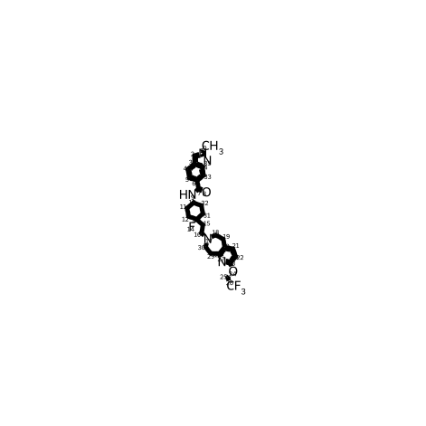 Cn1cc2ccc(C(=O)N[C@H]3CC[C@](F)(CCN4CCc5ccc(OCC(F)(F)F)nc5CC4)CC3)cc2n1